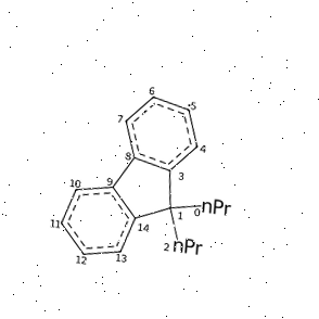 CCCC1(CCC)c2c[c]ccc2-c2ccccc21